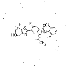 C[C@H](Oc1cc(-c2nc(CO)c(C(C)(F)F)s2)c(F)cc1C(=O)Nc1c(F)cccc1Cl)C(F)(F)F